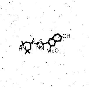 COc1cc2cc(O)ccc2cc1-c1nnc(N(C)C2CC(C)(C)NC(C)(C)C2)s1